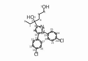 CCC(O)(CCCO)c1cc(-c2ccc(Cl)cc2)n(-c2ccc(Cl)cc2)n1